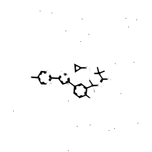 CC1(C)C(N)=N[C@](C)(c2cc(-c3cc(-c4ncc(Cl)cn4)no3)ccc2F)C[S@@]1=NC1CC1